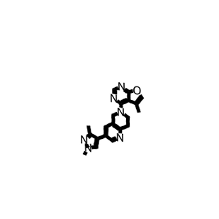 Cc1nn(C)cc1-c1cnc2c(c1)CN(c1ncnc3occ(C)c13)CC2